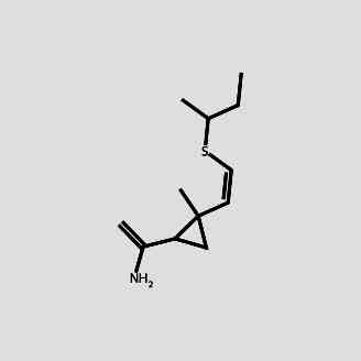 C=C(N)C1CC1(C)/C=C\SC(C)CC